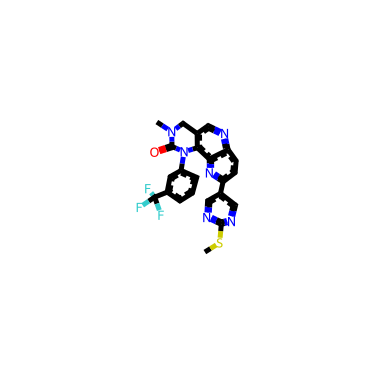 CSc1ncc(-c2ccc3ncc4c(c3n2)N(c2cccc(C(F)(F)F)c2)C(=O)N(C)C4)cn1